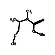 CC(CCO)N(C)C(=O)OC(C)(C)C